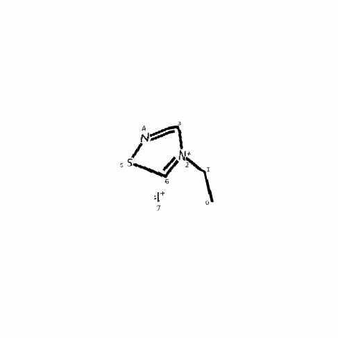 CC[n+]1cnsc1.[I+]